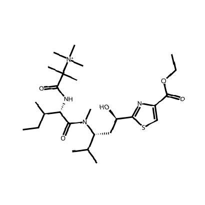 CCOC(=O)c1csc([C@H](O)C[C@H](C(C)C)N(C)C(=O)[C@@H](NC(=O)C(C)(C)[N+](C)(C)C)C(C)CC)n1